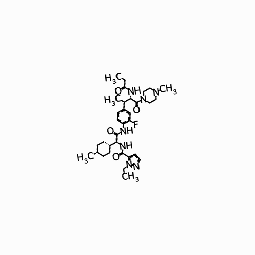 CCC(=O)N[C@H](C(=O)N1CCN(C)CC1)[C@H](C)c1ccc(NC(=O)[C@@H](NC(=O)c2ccnn2CC)[C@H]2CC[C@H](C)CC2)c(F)c1